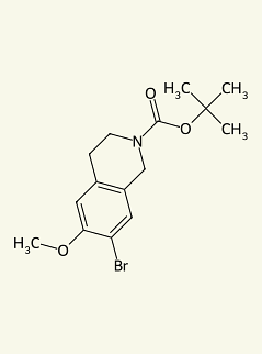 COc1cc2c(cc1Br)CN(C(=O)OC(C)(C)C)CC2